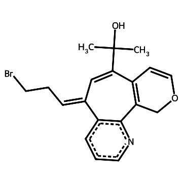 CC(C)(O)C1=CC(=CCCBr)c2cccnc2C2=C1C=COC2